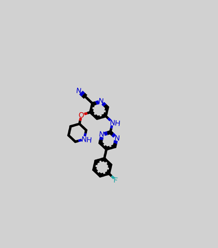 N#Cc1ncc(Nc2ncc(-c3cccc(F)c3)cn2)cc1OC1CCCNC1